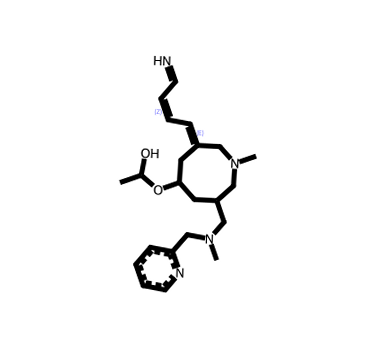 CC(O)OC1C/C(=C\C=C/C=N)CN(C)CC(CN(C)Cc2ccccn2)C1